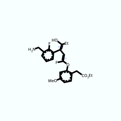 CCOC(=O)Cc1ccc(OC)cc1O/C(F)=C/C(=C(/O)CC)c1cccc(CN)c1F